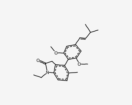 CCN1C(=O)Cc2c1ccc(C)c2-c1c(OC)cc(C=CC(C)C)cc1OC